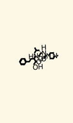 CC(C)C[C@H](NC(=O)N1CCN(C)CC1)C(=O)NC(CCc1ccccc1)C(=O)CO